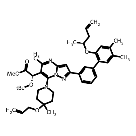 C=CCOC1(C)CCN(c2c([C@H](OC(C)(C)C)C(=O)OC)c(C)nc3cc(-c4cccc(-c5cc(C)c(C)cc5O[C@@H](C)CC=C)c4)nn23)CC1